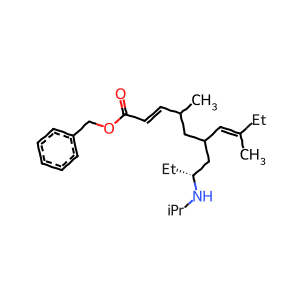 CC/C(C)=C/C(CC(C)/C=C/C(=O)OCc1ccccc1)C[C@@H](CC)NC(C)C